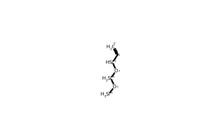 C=C[SiH]O[SiH2]O[SiH3]